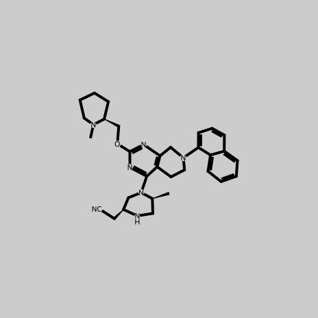 C[C@H]1CN[C@@H](CC#N)CN1c1nc(OC[C@@H]2CCCCN2C)nc2c1CCN(c1cccc3ccccc13)C2